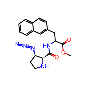 COC(=O)C(Cc1ccc2ccccc2c1)NC(=O)[C@H]1NCC[C@H]1N=[N+]=[N-]